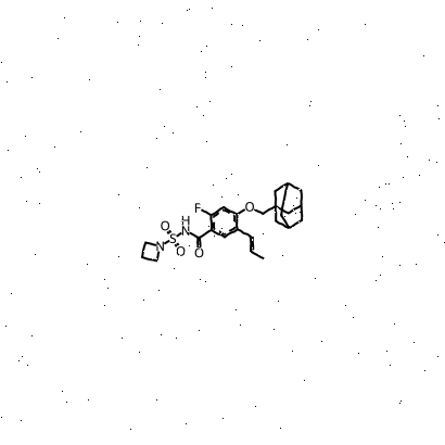 CC=Cc1cc(C(=O)NS(=O)(=O)N2CCC2)c(F)cc1OCC12CC3CC(CC(C3)C1)C2